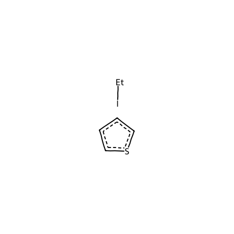 CCI.c1ccsc1